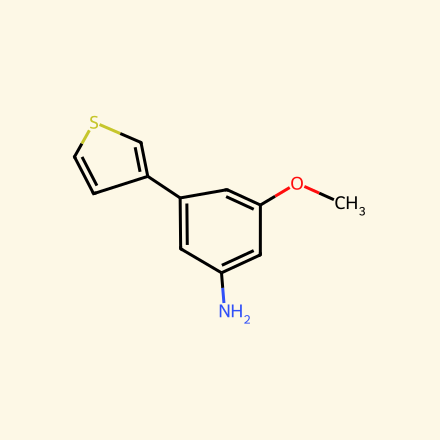 COc1cc(N)cc(-c2ccsc2)c1